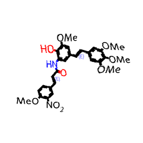 COc1ccc(/C=C/C(=O)Nc2cc(/C=C/c3cc(OC)c(OC)c(OC)c3)cc(OC)c2O)cc1[N+](=O)[O-]